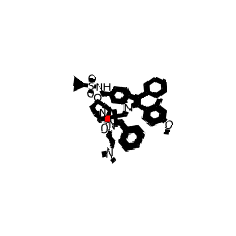 COc1ccc(-c2c(C3CCCCC3)c3ccc(C(=O)NS(=O)(=O)C4CC4)cc3n2CC(C)(C)C(=O)N2C3CCC2CC(N(CCN(C)C)Cc2ccccc2)C3)c(C)c1